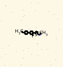 C/C=C\c1ccc(-c2ccc(-c3ccc(CC)cc3)cc2F)s1